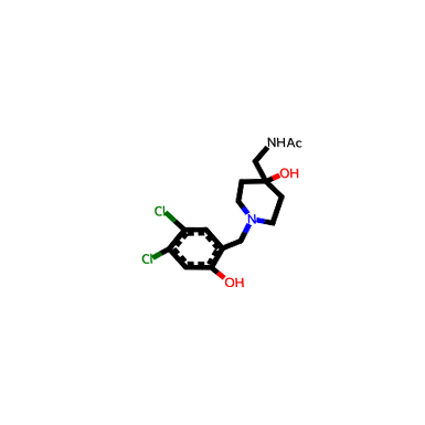 CC(=O)NCC1(O)CCN(Cc2cc(Cl)c(Cl)cc2O)CC1